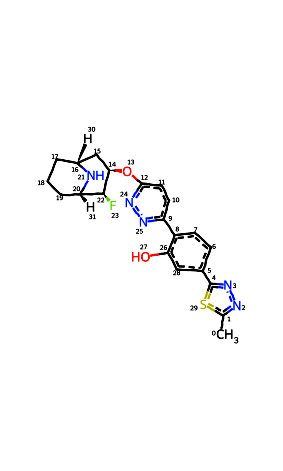 Cc1nnc(-c2ccc(-c3ccc(O[C@@H]4C[C@H]5CCC[C@H](N5)[C@@H]4F)nn3)c(O)c2)s1